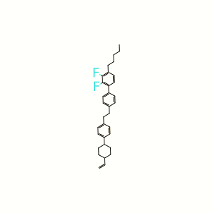 C=CC1CCC(c2ccc(CCc3ccc(-c4ccc(CCCCC)c(F)c4F)cc3)cc2)CC1